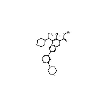 Cc1c(C(=O)OC(C)C)cc2cc(-c3cccc(N4CCOCC4)c3)cn2c1C(C)N1CCOCC1